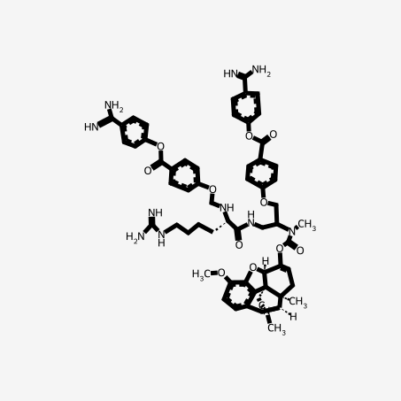 COc1ccc2c3c1O[C@H]1C(OC(=O)N(C)C(CNC(=O)[C@H](CCCCNC(=N)N)NCOc4ccc(C(=O)Oc5ccc(C(=N)N)cc5)cc4)COc4ccc(C(=O)Oc5ccc(C(=N)N)cc5)cc4)=CC[C@@]4(C)[C@@H](C2)N(C)CC[C@]314